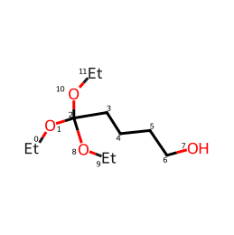 CCOC(CCCCO)(OCC)OCC